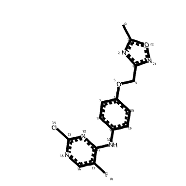 Cc1nc(COc2ccc(Nc3nc(Cl)ncc3F)cc2)no1